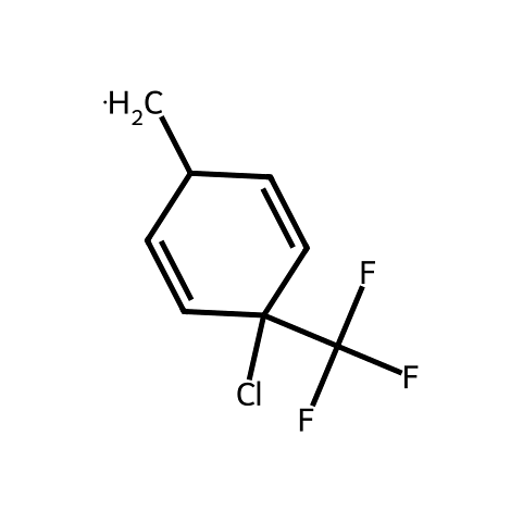 [CH2]C1C=CC(Cl)(C(F)(F)F)C=C1